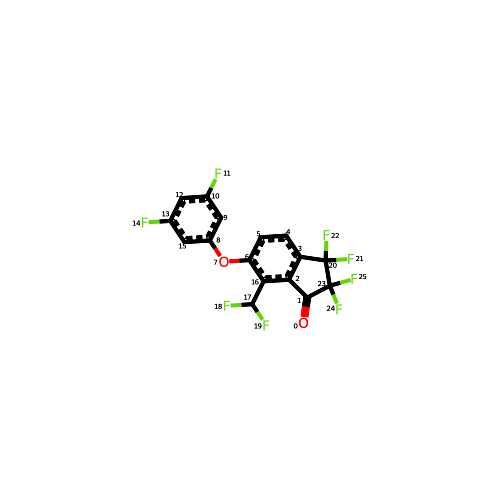 O=C1c2c(ccc(Oc3cc(F)cc(F)c3)c2C(F)F)C(F)(F)C1(F)F